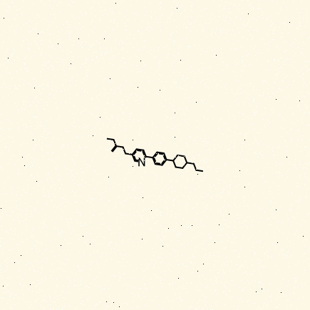 C=C(CC)CCc1ccc(-c2ccc(C3CCC(CCC)CC3)cc2)nc1